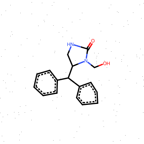 O=C1NCC(C(c2ccccc2)c2ccccc2)N1CO